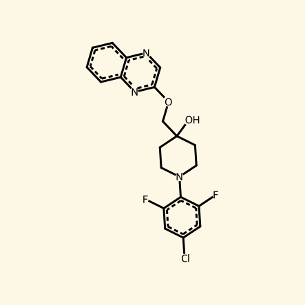 OC1(COc2cnc3ccccc3n2)CCN(c2c(F)cc(Cl)cc2F)CC1